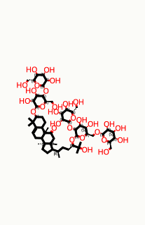 C[C@H](CC[C@@H](O[C@@H]1O[C@H](CO[C@H]2O[C@H](CO)[C@@H](O)[C@H](O)[C@H]2O)[C@@H](O)[C@H](O)[C@H]1O[C@H]1O[C@@H](CO)[C@H](O)[C@@H](O)[C@@H]1O)C(C)(C)O)C1CC[C@@]2(C)C3CC=C4C(CC[C@H](O[C@@H]5O[C@H](CO)[C@@H](O[C@@H]6O[C@H](CO)[C@@H](O)[C@H](O)[C@H]6O)[C@H](O)[C@H]5O)C4(C)C)[C@]3(C)C(=O)C[C@]12C